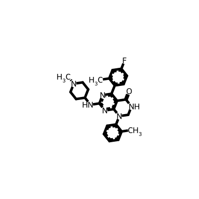 Cc1cc(F)ccc1-c1nc(NC2CCN(C)CC2)nc2c1C(=O)NCN2c1ccccc1C